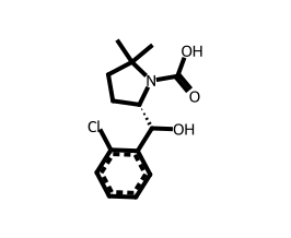 CC1(C)CC[C@@H](C(O)c2ccccc2Cl)N1C(=O)O